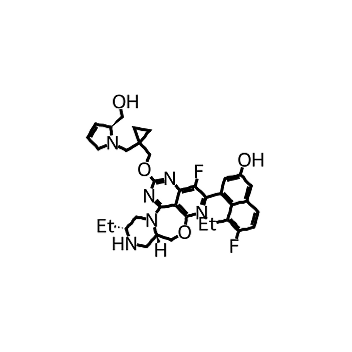 CCc1c(F)ccc2cc(O)cc(-c3nc4c5c(nc(OCC6(CN7CC=C[C@H]7CO)CC6)nc5c3F)N3C[C@@H](CC)NC[C@H]3CO4)c12